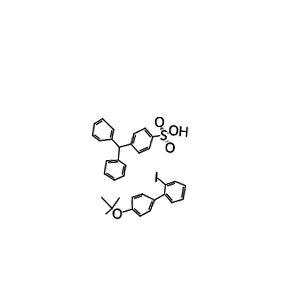 CC(C)(C)Oc1ccc(-c2ccccc2I)cc1.O=S(=O)(O)c1ccc(C(c2ccccc2)c2ccccc2)cc1